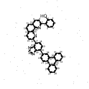 Oc1ccccc1-c1ccc2ccc3ccc(-c4ccc(-c5ccc6c7ccccc7c7ccccc7c6c5)c5nsnc45)nc3c2n1